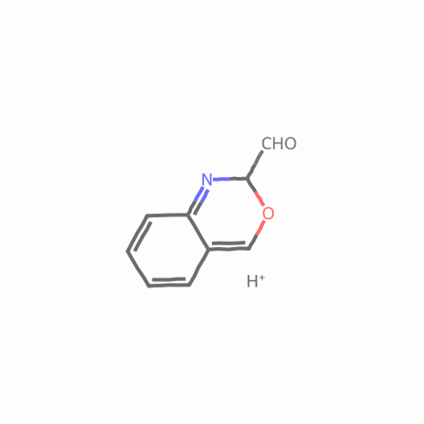 O=CC1N=c2ccccc2=CO1.[H+]